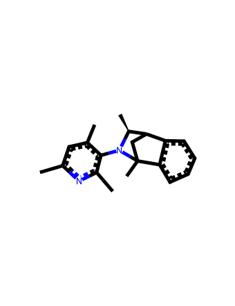 Cc1cc(C)c(N2[C@@H](C)C3CC2(C)c2ccccc23)c(C)n1